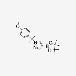 COc1ccc(C(C)(C)n2cc(B3OC(C)(C)C(C)(C)O3)cn2)cc1